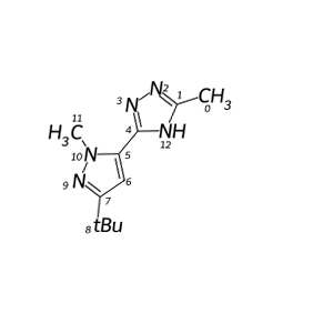 Cc1nnc(-c2cc(C(C)(C)C)nn2C)[nH]1